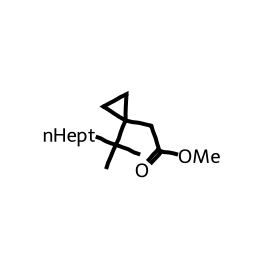 CCCCCCCC(C)(C)C1(CC(=O)OC)CC1